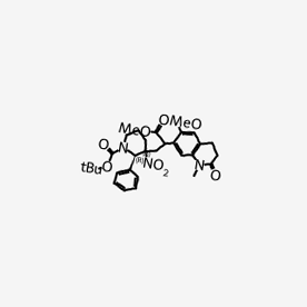 COC(=O)C(C[C@@]1([N+](=O)[O-])CCCN(C(=O)OC(C)(C)C)[C@@H]1c1ccccc1)c1cc2c(cc1OC)CCC(=O)N2C